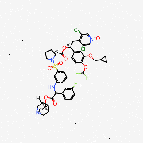 O=C(O[C@H]1CN2CCC1CC2)C(Nc1cccc(S(=O)(=O)N2CCC[C@@H]2C(=O)O[C@@H](Cc2c(Cl)c[n+]([O-])cc2Cl)c2ccc(OC(F)F)c(OCC3CC3)c2)c1)c1cccc(F)c1